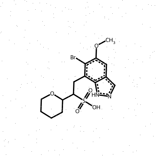 COc1cc2cn[nH]c2c(CC(C2CCCCO2)S(=O)(=O)O)c1Br